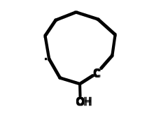 OC1C[CH]CCCCCCC1